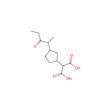 CCC(=O)C(C)C1CCC(C(C(=O)O)C(=O)O)C1